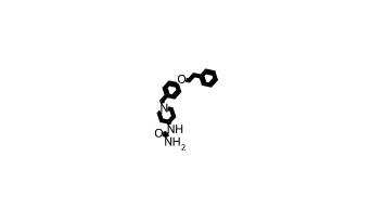 NC(=O)NC1CCN(Cc2ccc(OCCc3ccccc3)cc2)CC1